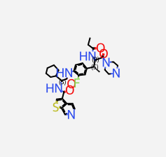 CCC(=O)N[C@@H](C(=O)N1CCN(C)CC1)[C@@H](C)c1ccc(NC(=O)[C@@H](NC(=O)c2csc3cnccc23)C2CCCCC2)c(F)c1